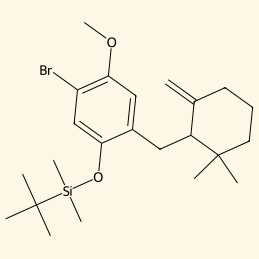 C=C1CCCC(C)(C)C1Cc1cc(OC)c(Br)cc1O[Si](C)(C)C(C)(C)C